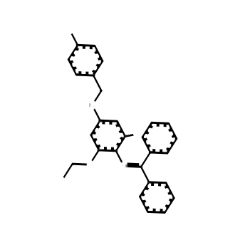 CCSc1cc(NCc2ccc(F)cc2)cc(C)c1N=C(c1ccccc1)c1ccccc1